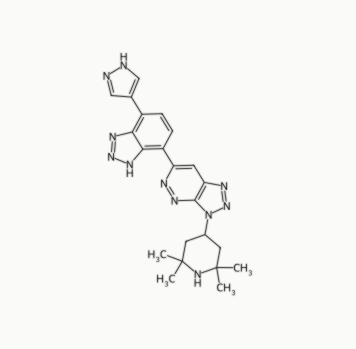 CC1(C)CC(n2nnc3cc(-c4ccc(-c5cn[nH]c5)c5nn[nH]c45)nnc32)CC(C)(C)N1